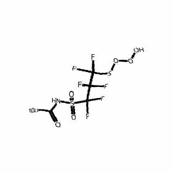 CC(C)(C)C(=O)NS(=O)(=O)C(F)(F)C(F)(F)C(F)(F)SOOO